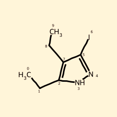 CCc1[nH]nc(I)c1CC